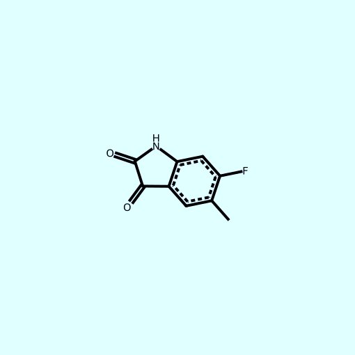 Cc1cc2c(cc1F)NC(=O)C2=O